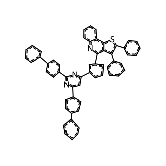 c1ccc(-c2ccc(-c3cc(-c4cccc(-c5nc6ccccc6c6sc(-c7ccccc7)c(-c7ccccc7)c56)c4)nc(-c4ccc(-c5ccccc5)cc4)n3)cc2)cc1